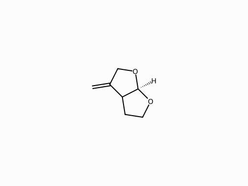 C=C1CO[C@H]2OCCC12